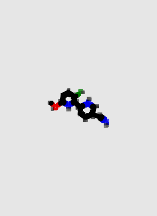 COc1ccc(F)c(-c2ccc(C#N)cn2)n1